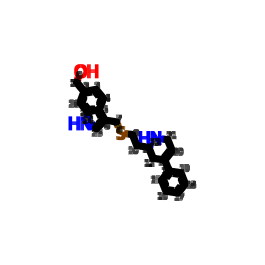 OCc1ccc2c(CSCCC3CC(c4ccccc4)=CCN3)c[nH]c2c1